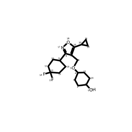 OC1CCC(OCc2c(C3CCC(F)(F)CC3)noc2C2CC2)CC1